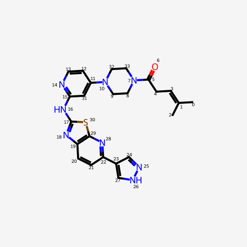 CC(C)=CCC(=O)N1CCN(c2ccnc(Nc3nc4ccc(-c5cn[nH]c5)nc4s3)c2)CC1